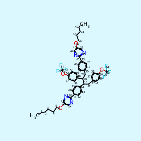 CCCCCCOc1cnc(-c2ccc(C(Cc3ccc(OC(F)(F)F)cc3)C(Cc3ccc(-c4ncc(OCCCCC)cn4)cc3)c3ccc(OC(F)(F)F)cc3)cc2)nc1